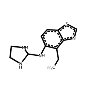 CCc1c(NC2NCCN2)ccc2scnc12